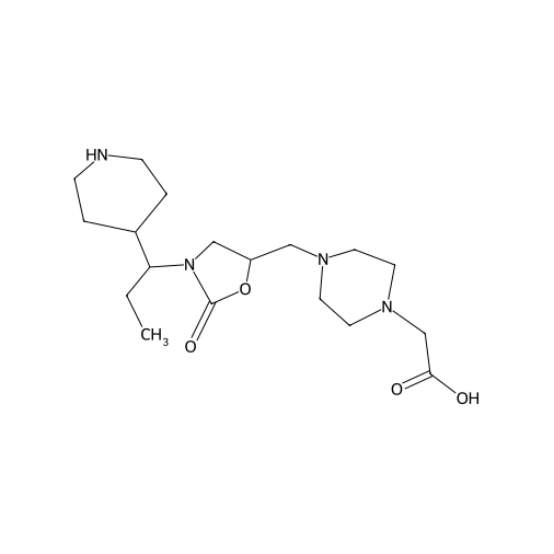 CCC(C1CCNCC1)N1CC(CN2CCN(CC(=O)O)CC2)OC1=O